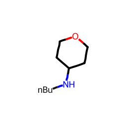 CCCCNC1CCOCC1